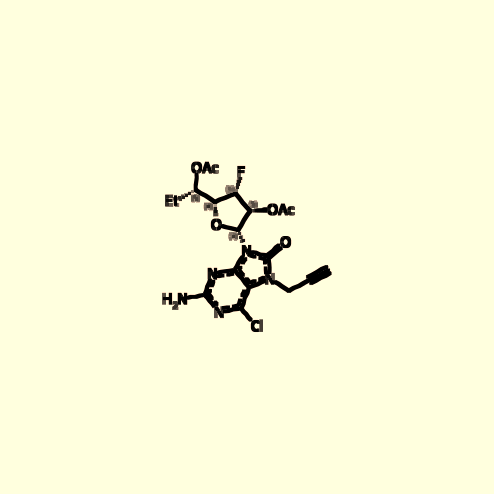 C#CCn1c(=O)n([C@@H]2O[C@H]([C@H](CC)OC(C)=O)[C@H](F)[C@H]2OC(C)=O)c2nc(N)nc(Cl)c21